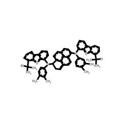 CCC(C)(C)c1cccc2c1oc1c(N(c3ccc(C)c(C)c3)c3ccc4ccc5c6c(ccc3c46)=CCC5N(c3ccc(C)c(C)c3)c3cccc4c3oc3c(C(C)(C)CC)cccc34)cccc12